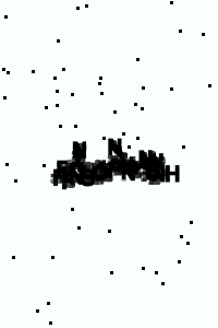 N#CC[C@]1(n2cc(-c3ncnc4[nH]ccc34)cn2)C[C@@H](N2CCC(Oc3cc(C#N)cc(C(F)(F)F)n3)CC2)C1